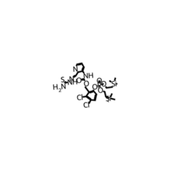 C[Si](C)(C)CCOP(=O)(OCC[Si](C)(C)C)Oc1ccc(Cl)c(Cl)c1COC(=O)Nc1cccnc1C=NNC(N)=S